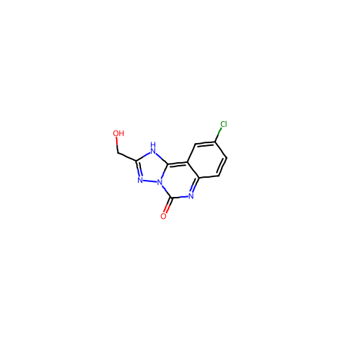 O=c1nc2ccc(Cl)cc2c2[nH]c(CO)nn12